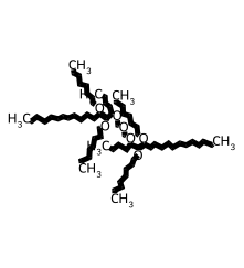 CCCCCCCCCCCCC(OCCCCCCCC)=C(OCCCCCCCC)C(CCCC)OCOCOC(CCCC)C(OCCCCCCCC)=C(CCCCCCCCCCCC)OCCCCCCCC